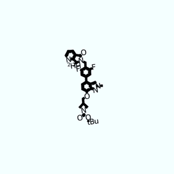 [2H]C1([2H])c2ncccc2C(=O)N1Cc1c(F)cc(-c2ccc(OCC3CN(C(=O)OC(C)(C)C)C3)c3nn(C)cc23)cc1F